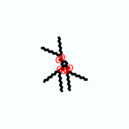 CCCCCCCCCC(CCCCCCCC)OC(=O)c1ccc(C(=O)OC(CCCCCCCC)CCCCCCCCC)c(C(=O)OC(CCCCCCCC)CCCCCCCCC)c1